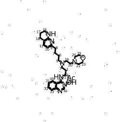 CC(=O)[C@H](CCN(CCCCc1ccc2c(n1)NCCC2)CCN1CCOCC1)Nc1c2ccccc2nc[n+]1O